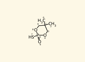 CC1(C)COP(=O)(S)OC1